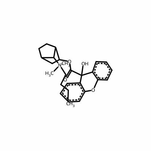 CCCC[N+](C)(C)C1C2CCC1C(OC(=O)C1(O)c3ccccc3Oc3ccccc31)C2